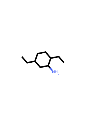 CCC1CCC(CC)C(N)C1